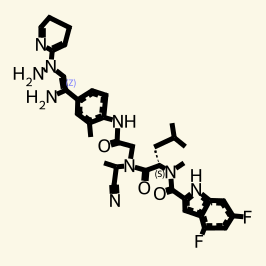 Cc1cc(/C(N)=C/N(N)C2=CCCC=N2)ccc1NC(=O)CN(C(=O)[C@H](CC(C)C)N(C)C(=O)c1cc2c(F)cc(F)cc2[nH]1)C(C)C#N